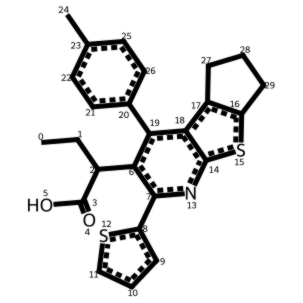 CCC(C(=O)O)c1c(-c2cccs2)nc2sc3c(c2c1-c1ccc(C)cc1)CCC3